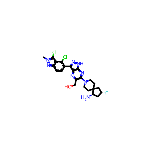 Cn1nc2ccc(-c3n[nH]c4nc(N5CCC6(CC5)C[C@H](F)C[C@H]6N)c(CO)nc34)c(Cl)c2c1Cl